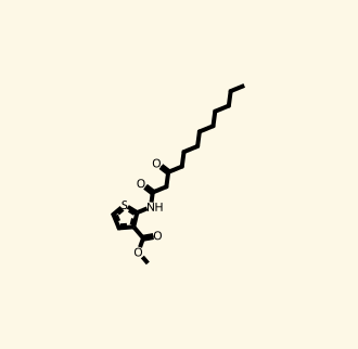 CCCCCCCCCC(=O)CC(=O)Nc1sccc1C(=O)OC